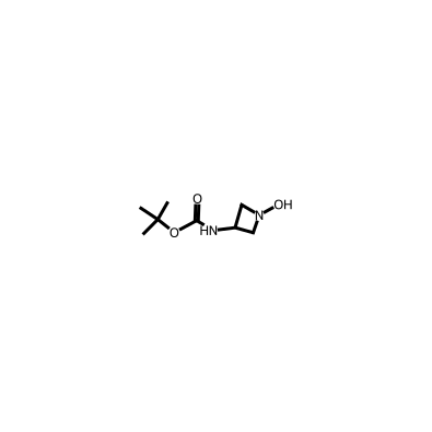 CC(C)(C)OC(=O)NC1CN(O)C1